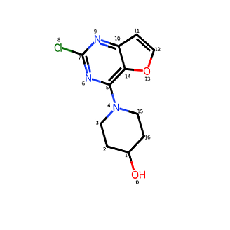 OC1CCN(c2nc(Cl)nc3ccoc23)CC1